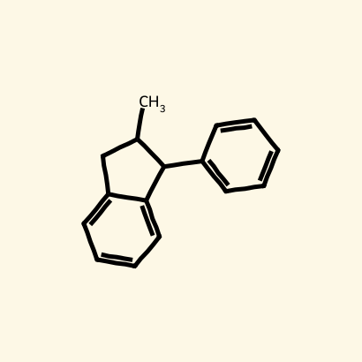 CC1Cc2ccccc2C1c1ccccc1